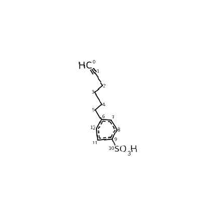 C#CCCCCc1ccc(S(=O)(=O)O)cc1